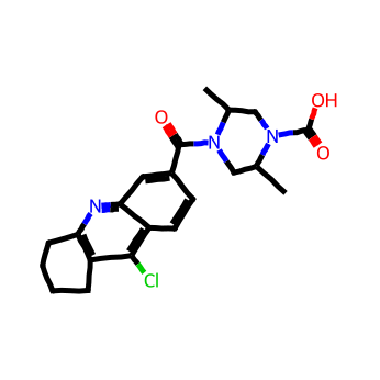 CC1CN(C(=O)c2ccc3c(Cl)c4c(nc3c2)CCCC4)C(C)CN1C(=O)O